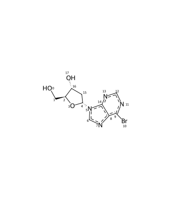 OC[C@@H]1O[C@@H](n2cnc3c(Br)ncnc32)C[C@H]1O